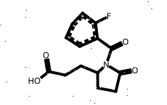 O=C(O)CCC1CCC(=O)N1C(=O)c1ccccc1F